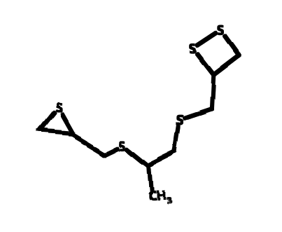 CC(CSCC1CSS1)SCC1CS1